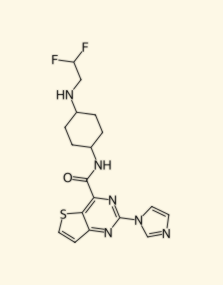 O=C(NC1CCC(NCC(F)F)CC1)c1nc(-n2ccnc2)nc2ccsc12